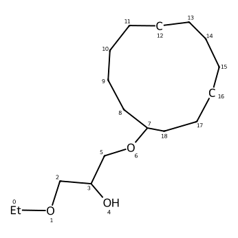 CCOCC(O)COC1CCCCCCCCCCC1